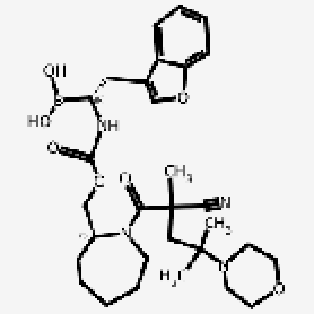 CC(C#N)(CC(C)(C)N1CCOCC1)C(=O)N1CCCCC[C@H]1COC(=O)N[C@@H](Cc1coc2ccccc12)B(O)O